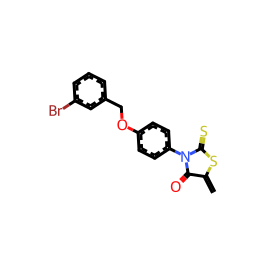 C=C1SC(=S)N(c2ccc(OCc3cccc(Br)c3)cc2)C1=O